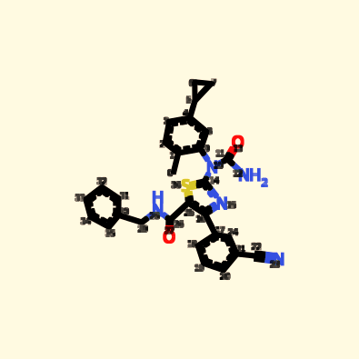 Cc1ccc(C2CC2)cc1N(C(N)=O)c1nc(-c2cccc(C#N)c2)c(C(=O)NCc2ccccc2)s1